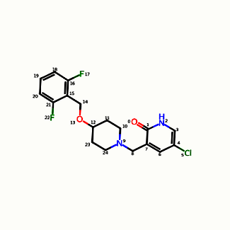 O=c1[nH]cc(Cl)cc1CN1CCC(OCc2c(F)cccc2F)CC1